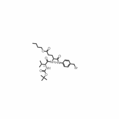 CCCCOC(=O)CCC(NC(=O)[C@@H](NC(=O)OC(C)(C)C)C(C)C)C(=O)Nc1ccc(CBr)cc1